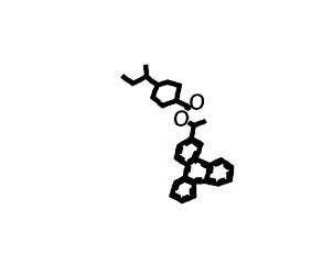 CCC(C)C1CCC(C(=O)OC(C)c2ccc3c4ccccc4c4ccccc4c3c2)CC1